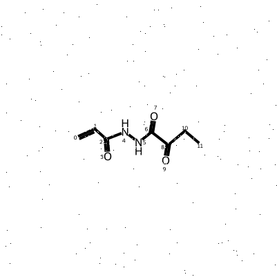 C=CC(=O)NNC(=O)C(=O)CC